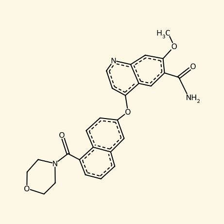 COc1cc2nccc(Oc3ccc4c(C(=O)N5CCOCC5)cccc4c3)c2cc1C(N)=O